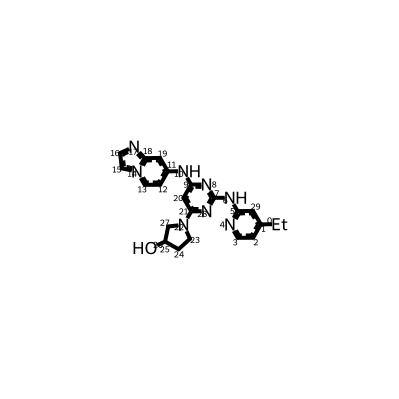 CCc1ccnc(Nc2nc(Nc3ccn4ccnc4c3)cc(N3CCC(O)C3)n2)c1